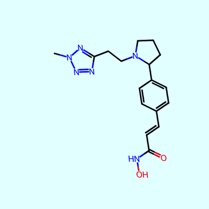 Cn1nnc(CCN2CCCC2c2ccc(C=CC(=O)NO)cc2)n1